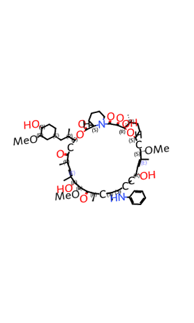 CO[C@H]1C[C@@H]2CC[C@@H](C)[C@@](O)(O2)C(=O)C(=O)N2CCCC[C@H]2C(=O)O[C@H]([C@H](C)C[C@@H]2CC[C@@H](O)[C@H](OC)C2)CC(=O)[C@H](C)/C=C(\C)[C@@H](O)[C@@H](OC)C(=O)[C@H](C)C[C@H](C)[C@@H](Nc2ccccc2)CC[C@@H](O)/C=C/1C